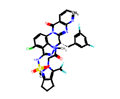 C=Nc1nc([C@H](Cc2cc(F)cc(F)c2)NC(=O)Cn2nc3c(c2C(F)F)CCC3)n(-c2ccc(Cl)c3c(NS(C)(=O)=O)nn(C)c23)c(=O)c1/C=C\C